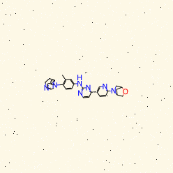 Cc1cc(Nc2nccc(-c3ccc(N4CC5CC4CO5)nc3)n2)ccc1N1CCN2CCC1CC2